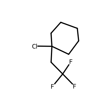 FC(F)(F)CC1(Cl)CCCCC1